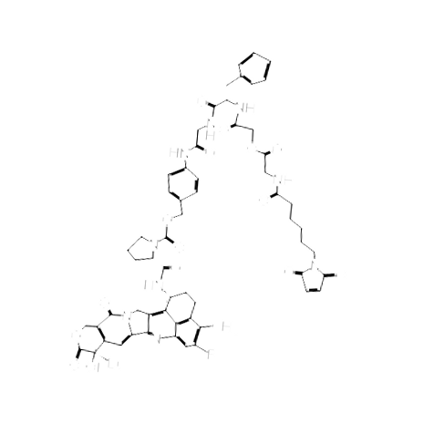 CC[C@@]1(O)C(=O)OCc2c1cc1n(c2=O)Cc2c-1nc1cc(F)c(C)c3c1c2[C@@H](NC(=O)[C@@H]1CCCN1C(=O)OCc1ccc(NC(=O)CNC(=O)[C@H](Cc2ccccc2)NC(=O)COC(=O)CNC(=O)CCCCCN2C(=O)C=CC2=O)cc1)CC3